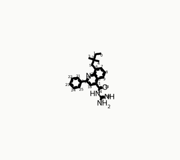 CCC(C)(C)Cc1cccc2c(C(=O)NC(=N)N)cc(-c3ccccc3)nc12